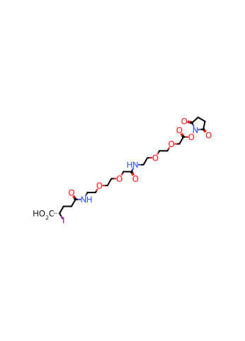 O=C(CC[C@H](I)C(=O)O)NCCOCCOCC(=O)NCCOCCOCC(=O)ON1C(=O)CCC1=O